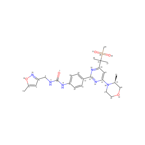 Cc1cc(CNC(=O)Nc2ccc(-c3nc(N4CCOC[C@@H]4C)cc(C(C)(C)S(C)(=O)=O)n3)cc2)no1